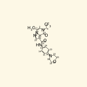 Cc1cn(CC(F)(F)F)c(=O)c2c(C(=O)Nc3ccc(N4CCOCC4)cc3)cnn12